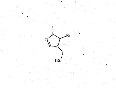 CN1N=CN(CC(C)(C)C)C1Br